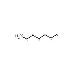 CCCCCCP